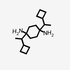 CC(C1CCC1)C1(N)CCC(N)(C(C)C2CCC2)CC1